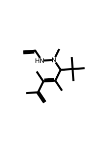 C=CNN(C)C(/C(C)=C(\C)C(=C)C)C(C)(C)C